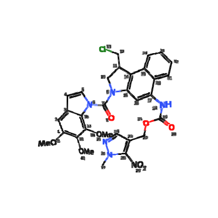 COc1cc2ccn(C(=O)N3CC(CCl)c4c3cc(NC(=O)OCc3cnn(C)c3[N+](=O)[O-])c3ccccc43)c2c(OC)c1OC